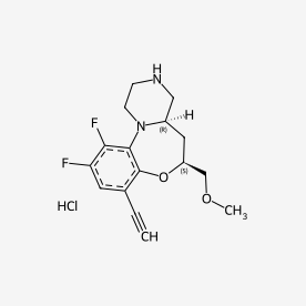 C#Cc1cc(F)c(F)c2c1O[C@H](COC)C[C@@H]1CNCCN21.Cl